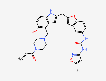 C=CC(=O)N1CCN(Cc2c(O)ccc3[nH]c(Cc4cc5cc(NC(=O)Nc6cc(C(C)(C)C)on6)ccc5o4)cc23)CC1